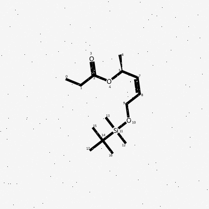 CCC(=O)O[C@@H](C)/C=C\CO[Si](C)(C)C(C)(C)C